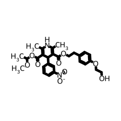 COC(C)OC(=O)C1=C(C)NC(C)=C(C(=O)OCCc2ccc(OCCO)cc2)C1c1cccc([N+](=O)[O-])c1